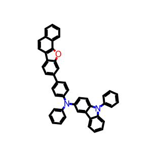 c1ccc(N(c2ccc(-c3ccc4c(c3)oc3c5ccccc5ccc43)cc2)c2ccc3c(c2)c2ccccc2n3-c2ccccc2)cc1